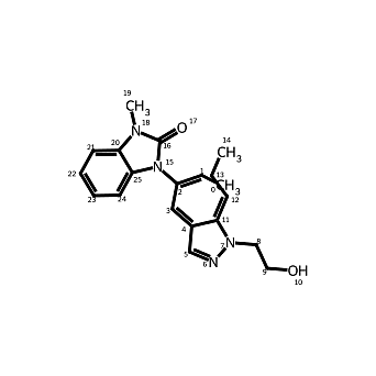 C\C=C(/C=c1/cnn(CCO)/c1=C/CC)n1c(=O)n(C)c2ccccc21